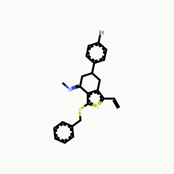 C=Cc1sc(SCc2ccccc2)c2c1CC(c1ccc(CC)cc1)C/C2=N\C